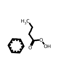 CCCC(=O)OO.c1ccccc1